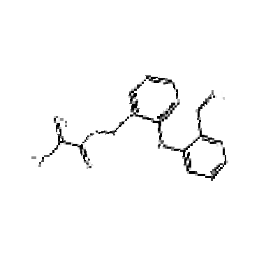 C=C(C)C(=O)OCc1ccccc1Oc1ccccc1CC